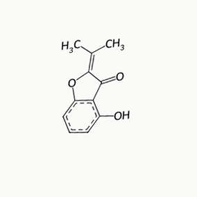 CC(C)=C1Oc2cccc(O)c2C1=O